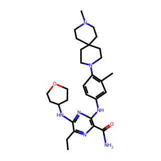 CCc1nc(C(N)=O)c(Nc2ccc(N3CCC4(CCN(C)CC4)CC3)c(C)c2)nc1NC1CCOCC1